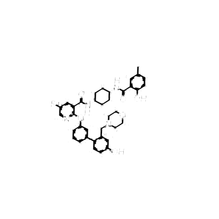 Cc1ccc(O)c(C(=O)N[C@H]2CC[C@@H](NC(=O)c3cc(F)cnc3Oc3cccc(-c4ccc(O)cc4CN4CCOCC4)c3)CC2)c1